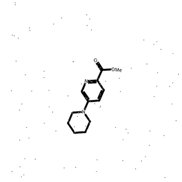 COC(=O)c1ccc(N2CCCCC2)cn1